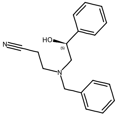 N#CCCN(Cc1ccccc1)C[C@@H](O)c1ccccc1